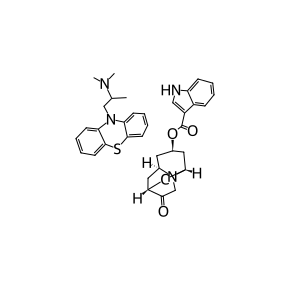 CC(CN1c2ccccc2Sc2ccccc21)N(C)C.O=C(O[C@@H]1C[C@@H]2C[C@@H]3C[C@H](C1)N2CC3=O)c1c[nH]c2ccccc12